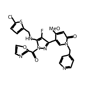 COc1cc(=O)n(Cc2ccncc2)cc1-c1nn(C(=O)c2ncco2)c(NCc2ccc(Cl)s2)c1F